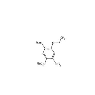 CCOC(=O)c1cc(OC)c(OCC(F)(F)F)cc1[N+](=O)[O-]